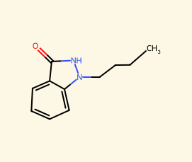 CCCCn1[nH]c(=O)c2ccccc21